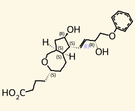 O=C(O)CCC[C@H]1CC[C@H]2[C@@H](CO1)C[C@@H](O)[C@@H]2/C=C/[C@@H](O)COc1ccccc1